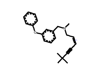 CN(C/C=C\C#CC(C)(C)C)Cc1cccc(Oc2ccccc2)c1